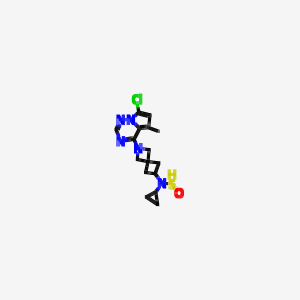 Cc1cc(Cl)n2ncnc(N3CC4(CC(N([SH]=O)C5CC5)C4)C3)c12